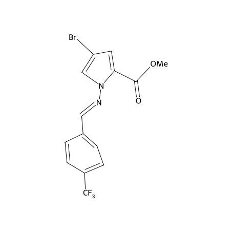 COC(=O)c1cc(Br)cn1/N=C/c1ccc(C(F)(F)F)cc1